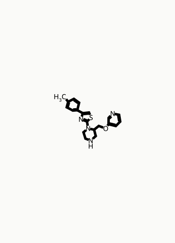 Cc1ccc(-c2csc(N3CCNCC3COc3cccnc3)n2)cc1